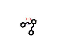 Oc1cccc(/C=C/c2ccccc2)c1/C=C/c1ccccc1